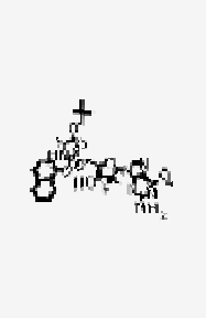 C[C@H](N[P@](=S)(OC[C@H]1O[C@@H](n2cnc3c(N(C)C)nc(N)nc32)[C@](C)(F)[C@@H]1O)Oc1cccc2ccccc12)C(=O)OCC(C)(C)C